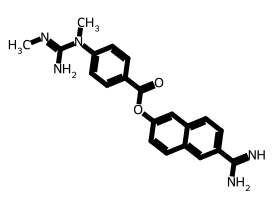 C/N=C(\N)N(C)c1ccc(C(=O)Oc2ccc3cc(C(=N)N)ccc3c2)cc1